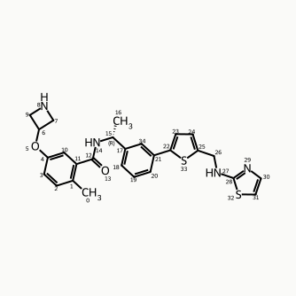 Cc1ccc(OC2CNC2)cc1C(=O)N[C@H](C)c1cccc(-c2ccc(CNc3nccs3)s2)c1